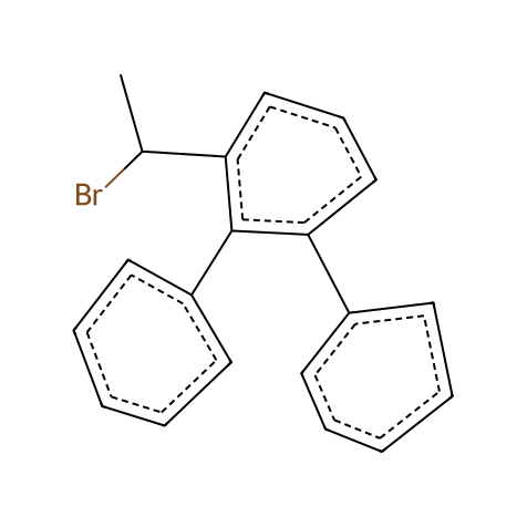 CC(Br)c1cccc(-c2ccccc2)c1-c1ccccc1